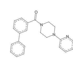 O=C(c1cccc(-c2ccccc2)c1)N1CCN(c2ccccn2)CC1